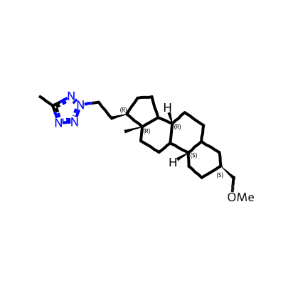 COC[C@H]1CC[C@H]2C(CC[C@@H]3C2CC[C@@]2(C)C3CC[C@@H]2CCn2nnc(C)n2)C1